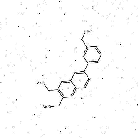 COCc1cc2cnc(-c3cccc(CC=O)c3)cc2cc1COC